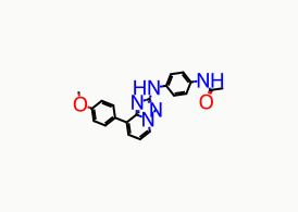 COc1ccc(-c2cccn3nc(Nc4ccc(NC(C)=O)cc4)nc23)cc1